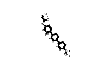 C=CC(=O)Oc1ccc(-c2ccc(-c3ccc(NC)cc3)cc2)c(F)c1